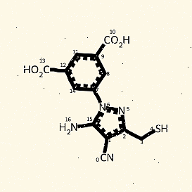 N#Cc1c(CS)nn(-c2cc(C(=O)O)cc(C(=O)O)c2)c1N